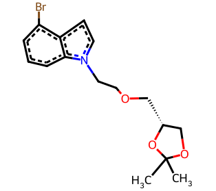 CC1(C)OC[C@@H](COCCn2ccc3c(Br)cccc32)O1